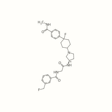 CNC(=O)c1ccc(C2(F)CCC(N3CC[C@@H](NC(=O)CNC(=O)c4cccc(CF)c4)C3)CC2)cc1